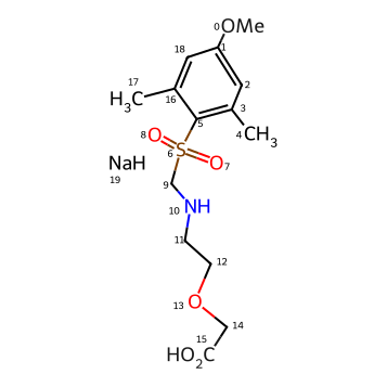 COc1cc(C)c(S(=O)(=O)CNCCOCC(=O)O)c(C)c1.[NaH]